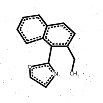 CCc1ccc2ccccc2c1-c1ncco1